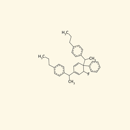 CCCc1ccc(C(C)C2=CC(F)C(c3ccccc3)(C(C)c3ccc(CCC)cc3)C=C2)cc1